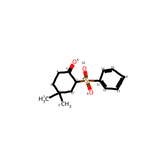 CC1(C)CCC(=O)C(S(=O)(=O)c2ccccc2)C1